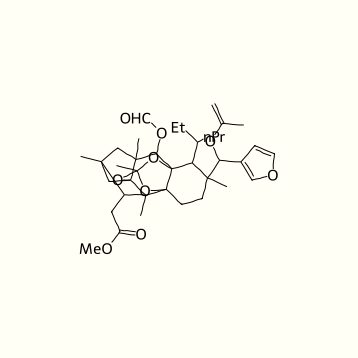 C=C(C)OC(c1ccoc1)C1(C)CCC23OC4(C)OC2(C1C(CC)CCC)C(OC=O)C1(C)CC2(C)CC1(O4)C3(C)C2CC(=O)OC